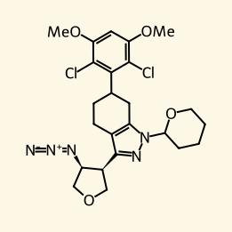 COc1cc(OC)c(Cl)c(C2CCc3c([C@H]4COC[C@H]4N=[N+]=[N-])nn(C4CCCCO4)c3C2)c1Cl